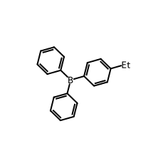 CCc1ccc(B(c2ccccc2)c2ccccc2)cc1